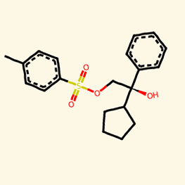 Cc1ccc(S(=O)(=O)OC[C@](O)(c2ccccc2)C2CCCC2)cc1